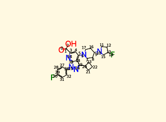 O=C(O)c1cc(N2CCC(N3CCC(F)C3)CC2)c2c(C3CCC3)nn(-c3ccc(F)cc3)c2n1